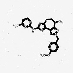 COc1ccc(Cn2cc3c(n2)C(C)CCc2sc(Nc4nccc(C)n4)nc2-3)cc1